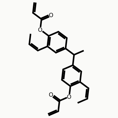 C=CC(=O)Oc1ccc(C(C)c2ccc(OC(=O)C=C)c(/C=C\C)c2)cc1/C=C\C